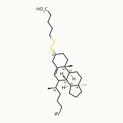 CC(C)CCC[C@@H](C)C1C=C2C[C@@H](SSCCCCC(=O)O)CC[C@]2(C)[C@H]2CC[C@@]3(C)CCC[C@H]3[C@H]12